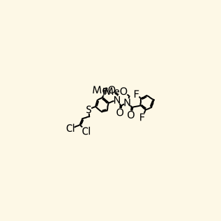 COCN(C(=O)c1c(F)cccc1F)C(=O)N(COC)c1ccc(SCC=C(Cl)Cl)cc1F